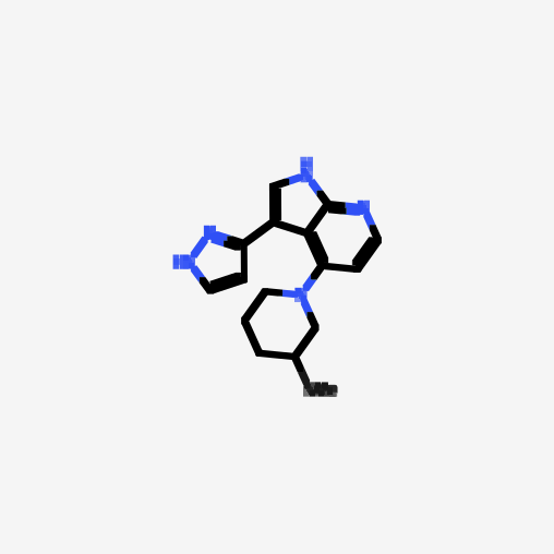 CNC1CCCN(c2ccnc3[nH]cc(-c4cc[nH]n4)c23)C1